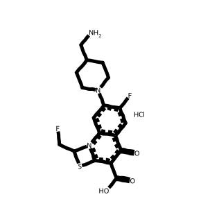 Cl.NCC1CCN(c2cc3c(cc2F)c(=O)c(C(=O)O)c2n3C(CF)S2)CC1